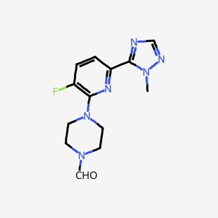 Cn1ncnc1-c1ccc(F)c(N2CCN(C=O)CC2)n1